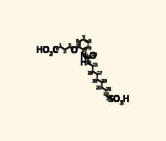 O=C(O)CCCOc1ccccc1NC(=O)CCCCCCCCCS(=O)(=O)O